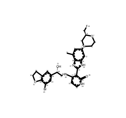 Cc1cc(N2CCO[C@H](CF)C2)cc2[nH]c(-c3c(NC[C@@H](O)c4cc(Br)c5c(c4)CCO5)cc[nH]c3=O)nc12